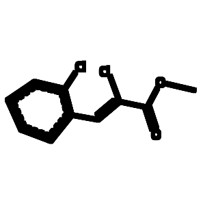 COC(=O)/C(Cl)=C/c1ccccc1Cl